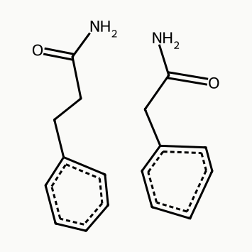 NC(=O)CCc1ccccc1.NC(=O)Cc1ccccc1